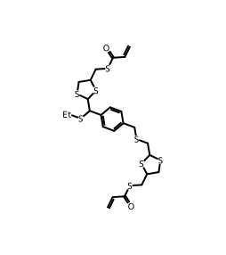 C=CC(=O)SCC1CSC(CSCc2ccc(C(SCC)C3SCC(CSC(=O)C=C)S3)cc2)S1